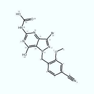 COc1cc(C#N)ccc1Cn1nc(Br)c2nc(NC(=O)O)nc(O)c21